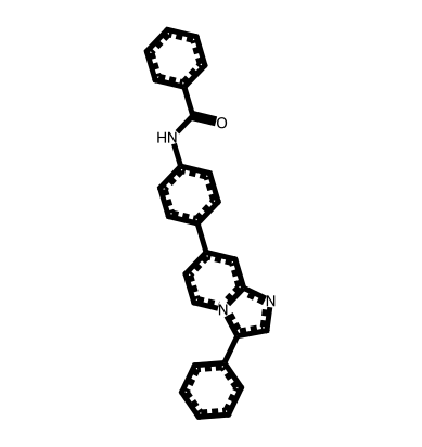 O=C(Nc1ccc(-c2ccn3c(-c4ccccc4)cnc3c2)cc1)c1ccccc1